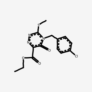 CCOC(=O)c1nnc(SC)n(Cc2ccc(Cl)cc2)c1=O